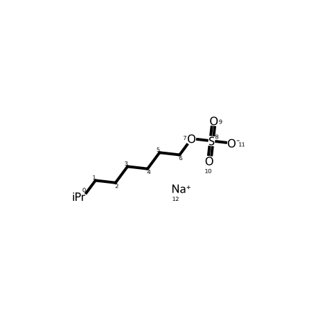 CC(C)CCCCCCOS(=O)(=O)[O-].[Na+]